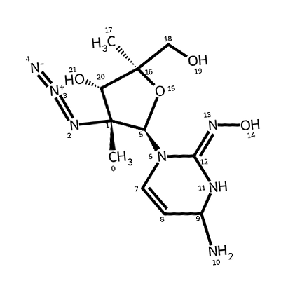 C[C@]1(N=[N+]=[N-])[C@H](N2C=CC(N)N/C2=N\O)O[C@](C)(CO)[C@H]1O